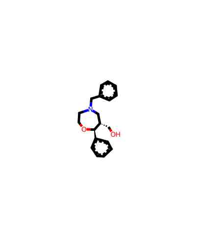 OC[C@H]1CN(Cc2ccccc2)CCO[C@@H]1c1ccccc1